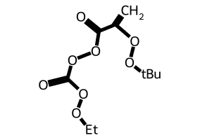 C=C(OOC(C)(C)C)C(=O)OOC(=O)OOCC